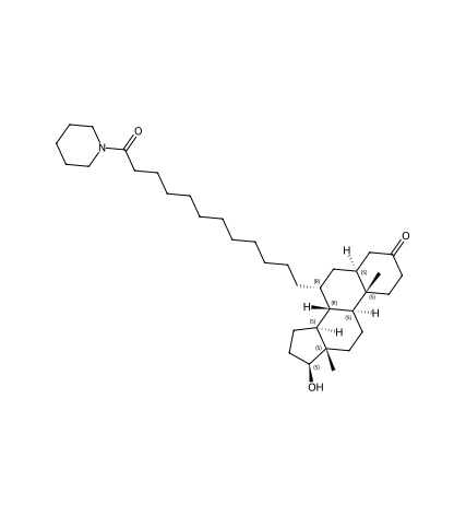 C[C@]12CCC(=O)C[C@@H]1C[C@@H](CCCCCCCCCCCC(=O)N1CCCCC1)[C@@H]1[C@@H]2CC[C@]2(C)[C@@H](O)CC[C@@H]12